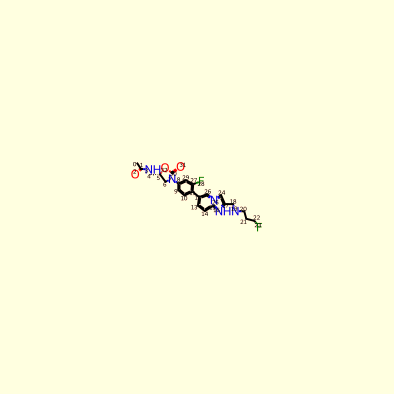 CC(=O)NC[C@H]1CN(c2ccc(-c3ccc4nc(CNCCCF)cn4c3)c(F)c2)C(=O)O1